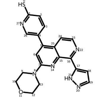 Sc1ccc(-c2cc(N3CCOCC3)nc3c(-c4ccn[nH]4)nccc23)cn1